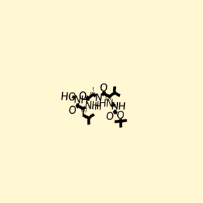 CC(C)C[C@H](NC(=O)[C@H](C)NC(=O)[C@@H](NNC(=O)OC(C)(C)C)C(C)C)C(=O)NO